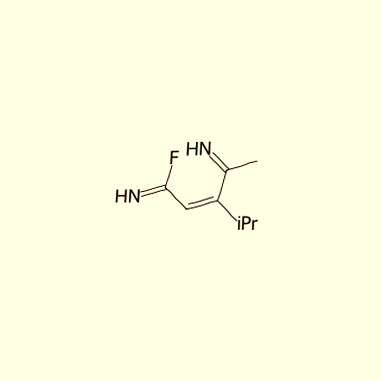 CC(=N)/C(=C\C(=N)F)C(C)C